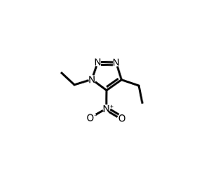 CCc1nnn(CC)c1[N+](=O)[O-]